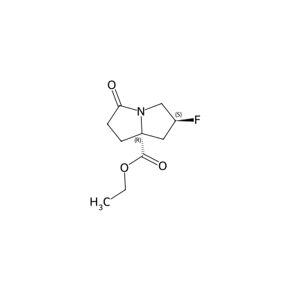 CCOC(=O)[C@]12CCC(=O)N1C[C@@H](F)C2